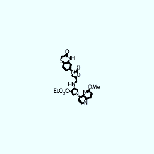 CCOC(=O)[C@@H]1CN(c2ccnc3ccc(OC)nc23)C[C@H]1NCC1CN(c2ccc3c(c2)NC(=O)CS3)C(=O)O1